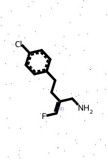 NC/C(=C/F)CCc1ccc(Cl)cc1